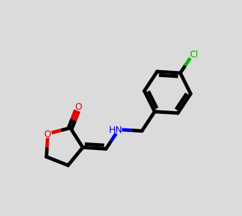 O=C1OCCC1=CNCc1ccc(Cl)cc1